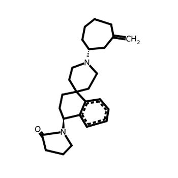 C=C1CCCC[C@@H](N2CCC3(CC[C@H](N4CCCC4=O)c4ccccc43)CC2)C1